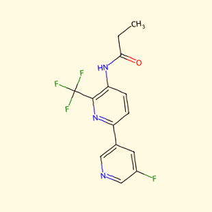 CCC(=O)Nc1ccc(-c2cncc(F)c2)nc1C(F)(F)F